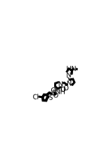 CNC1CCN(C[C@@H]2CCCN2C(=O)CN2CCC[C@H](NS(=O)(=O)c3cc4cc(Cl)ccc4s3)C2=O)C1